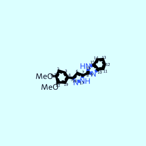 COc1ccc(-c2cc(-c3nc4ccccc4[nH]3)[nH]n2)cc1OC